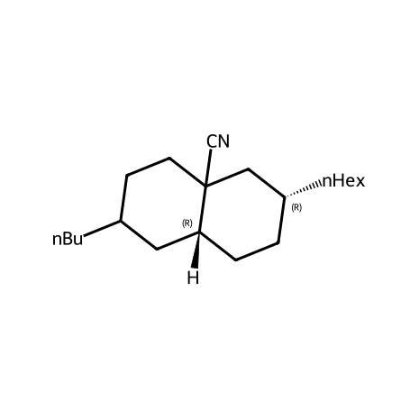 CCCCCC[C@@H]1CC[C@@H]2CC(CCCC)CCC2(C#N)C1